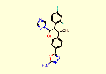 C[C@@H](c1ccc(-c2nnc(N)o2)cc1)[C@@H](c1ccc(F)cc1F)C(O)n1cncn1